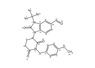 [2H]C([2H])([2H])n1c(=O)n(C2CCC(=O)N(Cc3ccc(OC)cc3)C2=O)c2ccc(C=O)cc21